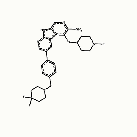 CCN1CCC(Oc2c(N)ncc3[nH]c4ncc(-c5ccc(CN6CCC(F)(F)CC6)cc5)cc4c23)CC1